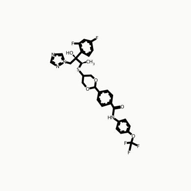 C[C@@H](SC1COC(c2ccc(C(=O)Nc3ccc(OC(F)(F)F)cc3)cc2)OC1)[C@](O)(Cn1cncn1)c1ccc(F)cc1F